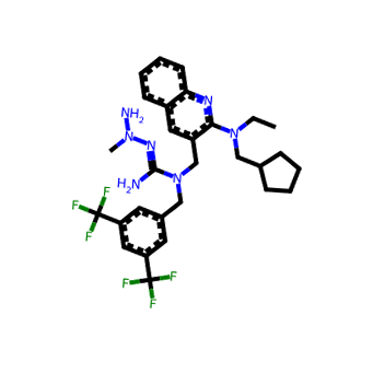 CCN(CC1CCCC1)c1nc2ccccc2cc1CN(Cc1cc(C(F)(F)F)cc(C(F)(F)F)c1)/C(N)=N/N(C)N